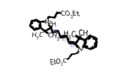 [2H]C1(/C=C/C=C/C=C2/N(CCCC(=O)OCC)c3ccccc3C2(C)C)N(CCCC(=O)OCC)c2ccccc2C1(C)C